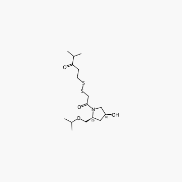 CC(C)OC[C@@H]1C[C@H](O)CN1C(=O)CSSCCC(=O)C(C)C